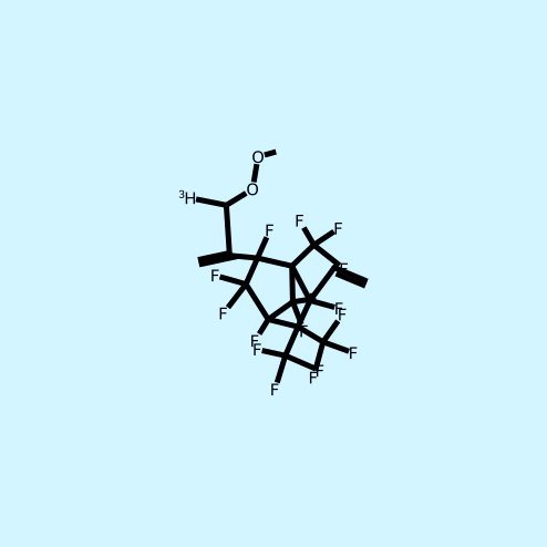 [3H]C(OOC)C(=C)C1(F)C(F)(F)C2(F)C(F)(F)C1(C(F)(F)F)C(F)(C=C)C2(C(F)(F)F)C(F)(F)F